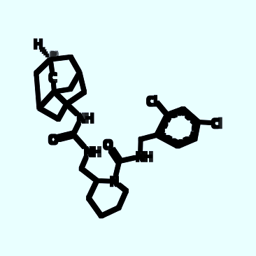 O=C(NCC1CCCCN1C(=O)NCc1ccc(Cl)cc1Cl)NC12CC3C[C@@H]4CC(C1)C2(C3)C4